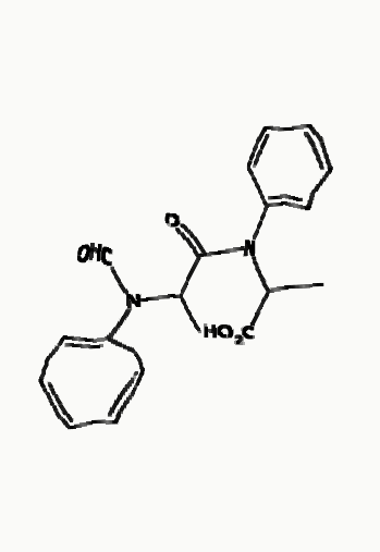 CC(C(=O)N(c1ccccc1)C(C)C(=O)O)N(C=O)c1ccccc1